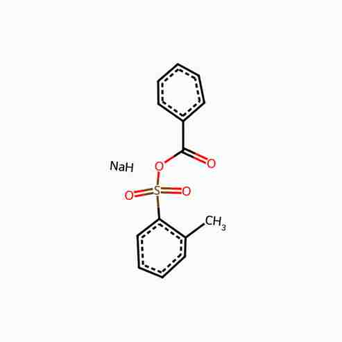 Cc1ccccc1S(=O)(=O)OC(=O)c1ccccc1.[NaH]